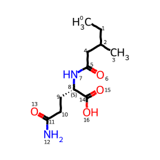 CCC(C)CC(=O)N[C@@H](CCC(N)=O)C(=O)O